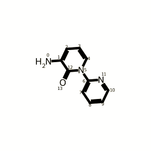 Nc1cccn(-c2ccccn2)c1=O